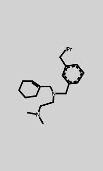 CC(C)Cc1cccc(CN(CCN(C)C)CC2=CCCCC2)c1